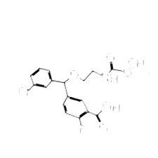 COC(=O)NCCOC(c1cccc(Cl)c1)c1ccc(F)c(C(=O)O)c1